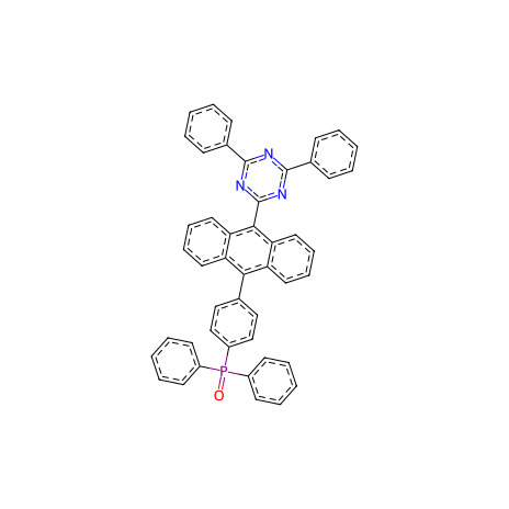 O=P(c1ccccc1)(c1ccccc1)c1ccc(-c2c3ccccc3c(-c3nc(-c4ccccc4)nc(-c4ccccc4)n3)c3ccccc23)cc1